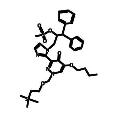 CCCCOc1cn(COCC[Si](C)(C)C)nc(-c2nccn2CC(OS(C)(=O)=O)C(c2ccccc2)c2ccccc2)c1=O